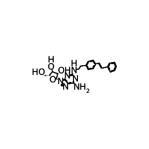 Nc1nc(NCCc2ccc(C=Cc3ccccc3)cc2)nc2c1ncn2[C@@H]1O[C@H](CO)[C@@H](O)[C@H]1O